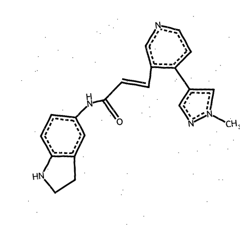 Cn1cc(-c2ccncc2/C=C/C(=O)Nc2ccc3c(c2)CCN3)cn1